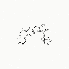 N#CC(Cc1ccc2c(cnc3ccccc32)c1)NC(=O)C1NC2CCP1C2